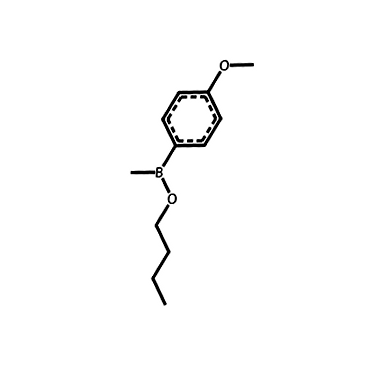 CCCCOB(C)c1ccc(OC)cc1